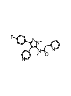 CN(C(=O)Cc1ccccn1)c1c(-c2ccncc2)c(-c2ccc(F)cc2)nn1C